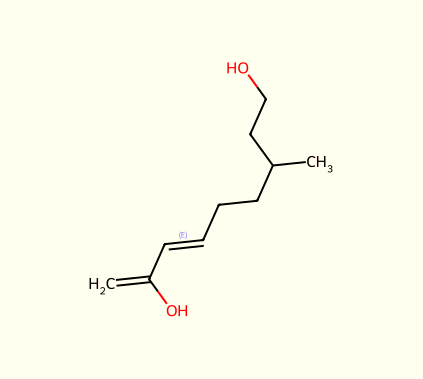 C=C(O)/C=C/CCC(C)CCO